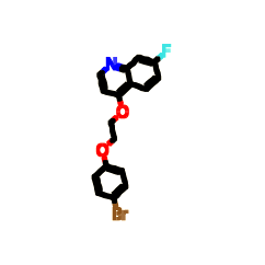 Fc1ccc2c(OCCOc3ccc(Br)cc3)ccnc2c1